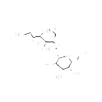 OC[C@@H](O)[C@@H](O)[C@H](O)[C@@H](CO)OO[C@H]1O[C@H](CO)[C@@H](O)[C@H](O)[C@H]1O